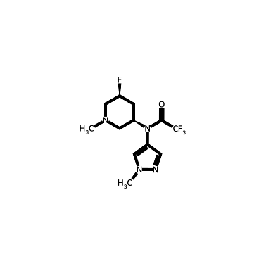 CN1C[C@@H](F)C[C@@H](N(C(=O)C(F)(F)F)c2cnn(C)c2)C1